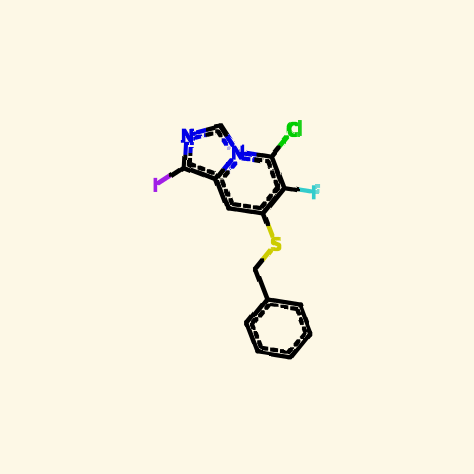 Fc1c(SCc2ccccc2)cc2c(I)ncn2c1Cl